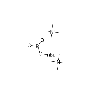 CCCCOB([O-])[O-].C[N+](C)(C)C.C[N+](C)(C)C